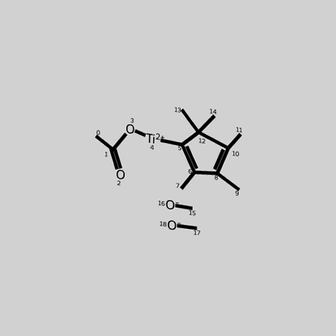 CC(=O)[O][Ti+2][C]1=C(C)C(C)=C(C)C1(C)C.C[O-].C[O-]